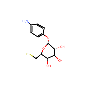 Nc1ccc(O[C@H]2O[C@H](CS)[C@H](O)[C@H](O)[C@H]2O)cc1